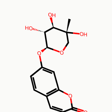 C[C@@]1(O)CO[C@@H](Oc2ccc3ccc(=O)oc3c2)[C@H](O)[C@H]1O